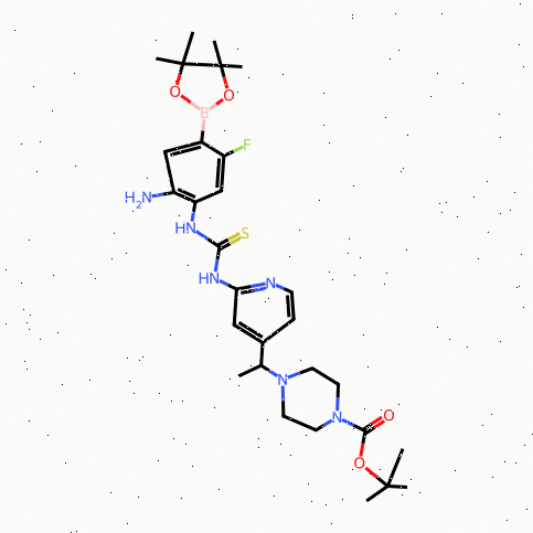 CC(c1ccnc(NC(=S)Nc2cc(F)c(B3OC(C)(C)C(C)(C)O3)cc2N)c1)N1CCN(C(=O)OC(C)(C)C)CC1